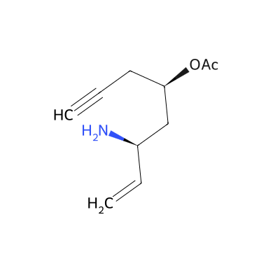 C#CC[C@H](C[C@H](N)C=C)OC(C)=O